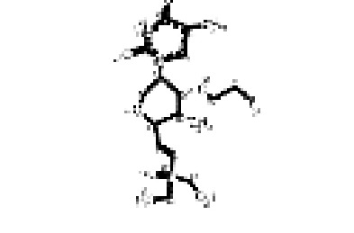 Cc1cn([C@@H]2COC(/C=C/P(=O)(CO)CO)[C@@H](C)[C@H]2OCCF)c(=O)[nH]c1=O